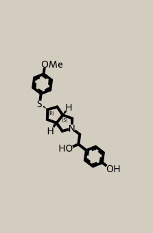 COc1ccc(S[C@@H]2C[C@@H]3CN(CC(O)c4ccc(O)cc4)C[C@@H]3C2)cc1